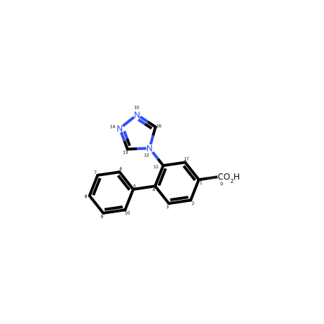 O=C(O)c1ccc(-c2ccccc2)c(-n2cnnc2)c1